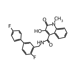 Cn1c(=O)c(O)c(C(=O)NCc2cc(-c3ccc(F)cc3)ccc2F)c2ccccc21